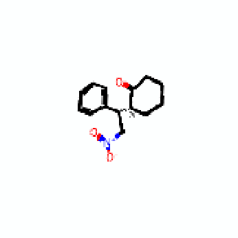 O=C1CCCC[C@@H]1C(C[N+](=O)[O-])c1ccccc1